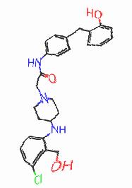 O=C(CN1CCC(Nc2cccc(Cl)c2CO)CC1)Nc1ccc(Cc2ccccc2O)cc1